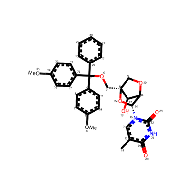 COc1ccc(C(OC[C@]23COC(C2O)[C@H](n2cc(C)c(=O)[nH]c2=O)O3)(c2ccccc2)c2ccc(OC)cc2)cc1